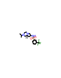 CC(C)N1CCN2C[C@@H](NS(=O)(=O)c3cccc(C(F)(F)F)c3)C[C@H]2C1